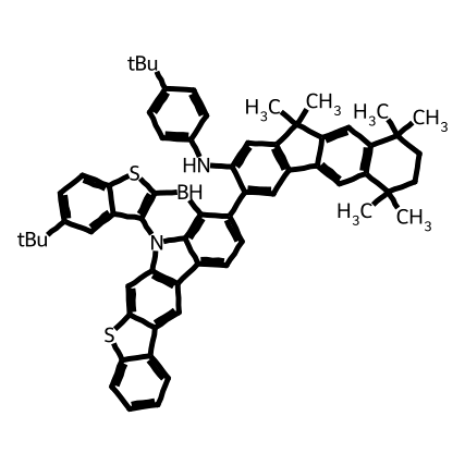 CC(C)(C)c1ccc(Nc2cc3c(cc2-c2ccc4c5cc6c(cc5n5c4c2Bc2sc4ccc(C(C)(C)C)cc4c2-5)sc2ccccc26)-c2cc4c(cc2C3(C)C)C(C)(C)CCC4(C)C)cc1